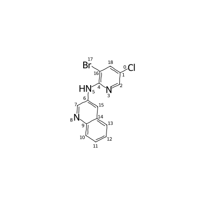 Clc1cnc(Nc2cnc3ccccc3c2)c(Br)c1